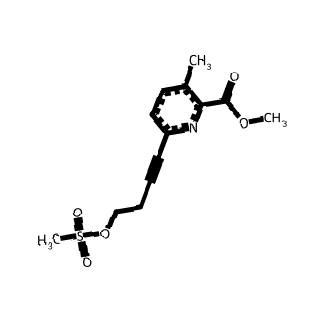 COC(=O)c1nc(C#CCCOS(C)(=O)=O)ccc1C